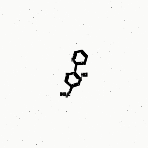 Cl.O=C(O)c1cnc(-c2ccccn2)nc1